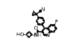 N#CC1(c2ccc(-c3c(C(=O)N[C@H]4C[C@H](O)C4)cnc4ccc(F)cc34)cc2)CC1